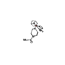 CC(C)N1CC2CC(C1)N2C(=O)N1CCN(C(=O)C(C)(C)C)CC1